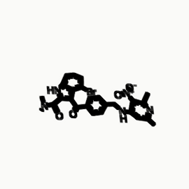 Cc1cc(NCc2ccc(C(=O)c3c(C(=O)N(C)C)[nH]c4cccc(Br)c34)cc2)c([N+](=O)[O-])c(C)n1